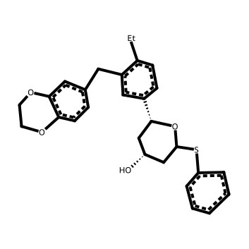 CCc1ccc([C@H]2C[C@@H](O)CC(Sc3ccccc3)O2)cc1Cc1ccc2c(c1)OCCO2